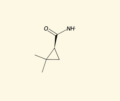 CC1(C)C[C@@H]1C([NH])=O